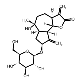 C=C1[C@@H]2[C@H]3OC(=O)C(=C)[C@@H]3CC[C@@](C)(O)[C@@H]2C[C@@H]1O[C@@H]1O[C@H](CO)[C@@H](O)[C@H](O)[C@H]1O